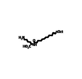 CCCCCCCCC=CCCCCCCCCCC(=O)N[C@@H](CCCCN)C(=O)O